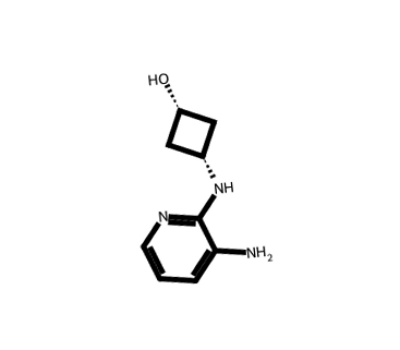 Nc1cccnc1N[C@H]1C[C@@H](O)C1